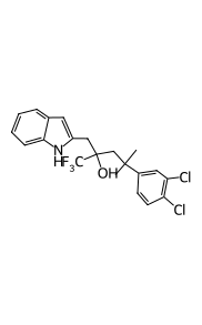 CC(C)(CC(O)(Cc1cc2ccccc2[nH]1)C(F)(F)F)c1ccc(Cl)c(Cl)c1